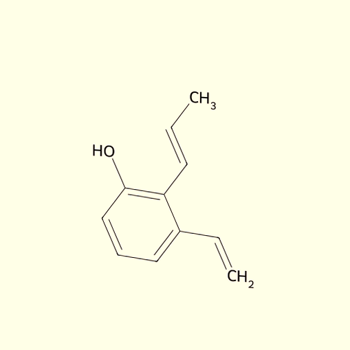 C=Cc1cccc(O)c1C=CC